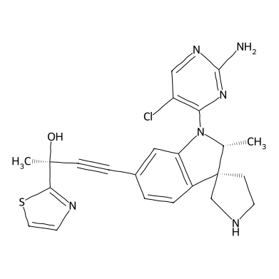 C[C@H]1N(c2nc(N)ncc2Cl)c2cc(C#C[C@](C)(O)c3nccs3)ccc2[C@@]12CCNC2